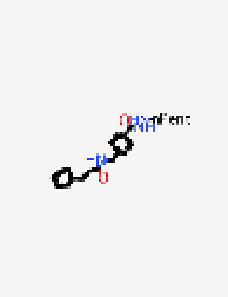 CCCCCNNC(=O)c1ccc(CNC(=O)/C=C/c2ccccc2)cc1